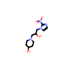 O=[N+]([O-])c1nccn1CC(O)CN1CCC(O)CC1